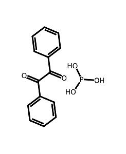 O=C(C(=O)c1ccccc1)c1ccccc1.OP(O)O